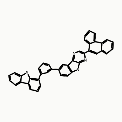 c1cc(-c2ccc3sc4nc(-c5cc6ccccc6c6ccccc56)cnc4c3c2)cc(-c2cccc3c2sc2ccccc23)c1